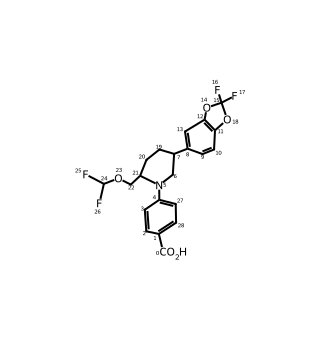 O=C(O)c1ccc(N2CC(c3ccc4c(c3)OC(F)(F)O4)CCC2COC(F)F)cc1